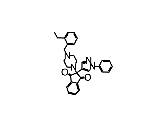 CCc1ccccc1CN1CCN(C2(c3cnn(-c4ccccc4)c3)C(=O)c3ccccc3C2=O)CC1